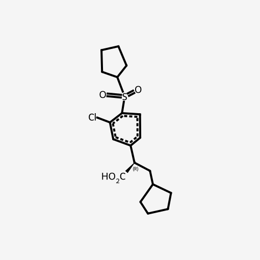 O=C(O)[C@H](CC1CCCC1)c1ccc(S(=O)(=O)C2CCCC2)c(Cl)c1